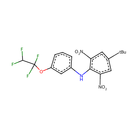 CC(C)(C)c1cc([N+](=O)[O-])c(Nc2cccc(OC(F)(F)C(F)F)c2)c([N+](=O)[O-])c1